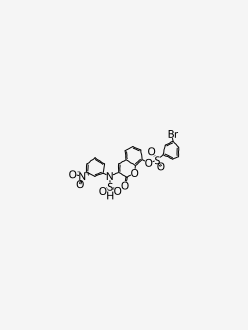 O=c1oc2c(OS(=O)(=O)c3cccc(Br)c3)cccc2cc1N(c1cccc([N+](=O)[O-])c1)[SH](=O)=O